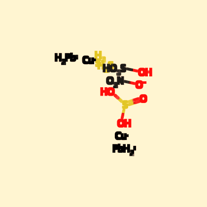 O=S(=O)(O)O.O=S(O)O.O=[N+]([O-])[O-].S.S.[Cu].[Cu].[PbH2].[PbH2]